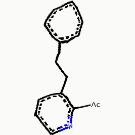 CC(=O)c1ncccc1CCc1ccccc1